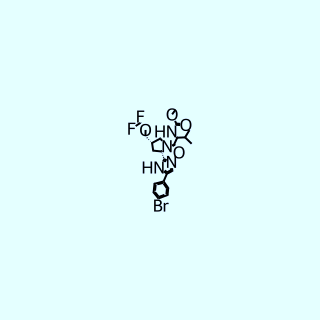 COC(=O)N[C@H](C(=O)N1C[C@@H](COC(F)F)C[C@H]1c1ncc(-c2ccc(Br)cc2)[nH]1)C(C)C